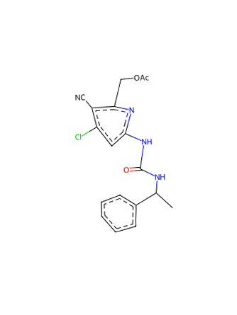 CC(=O)OCc1nc(NC(=O)NC(C)c2ccccc2)cc(Cl)c1C#N